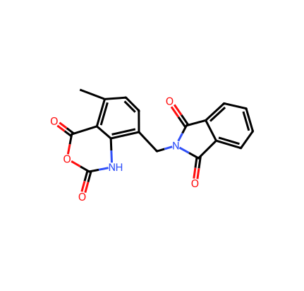 Cc1ccc(CN2C(=O)c3ccccc3C2=O)c2[nH]c(=O)oc(=O)c12